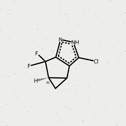 FC1(F)c2n[nH]c(Cl)c2C2C[C@H]21